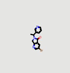 CC(c1cccnc1)N1Cc2ncc(Br)cc2C1=O